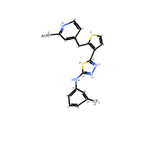 CC(=O)Nc1cc(Cc2sccc2-c2nnc(Nc3cccc(C(F)(F)F)c3)s2)ccn1